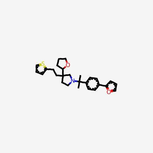 CC(C)(c1ccc(-c2ccco2)cc1)N1CCC(CCc2cccs2)(C2CCCO2)C1